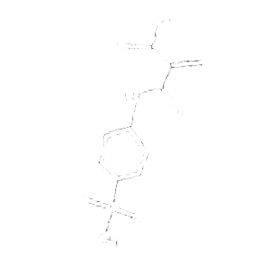 C=C(C(=O)O)C(=O)Nc1ccc(S(=O)(=O)O)cc1